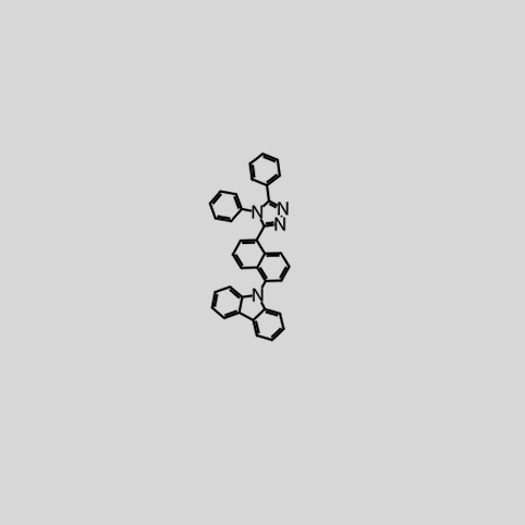 c1ccc(-c2nnc(-c3cccc4c(-n5c6ccccc6c6ccccc65)cccc34)n2-c2ccccc2)cc1